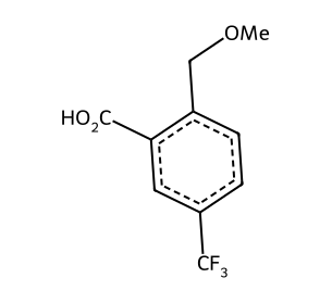 COCc1ccc(C(F)(F)F)cc1C(=O)O